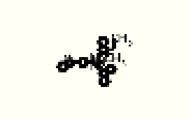 C=C/C=C\c1c(C)c(-c2nc(-c3ccc(-c4cnc5ccccc5c4)cc3)nc(-c3cc4ccccc4c4ccccc34)n2)cc2ccccc12